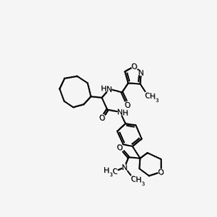 Cc1nocc1C(=O)NC(C(=O)Nc1ccc(C2(C(=O)N(C)C)CCOCC2)cc1)C1CCCCCCC1